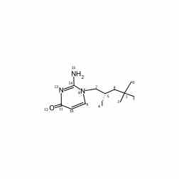 CC(C)(C)C[C@H](I)Cn1ccc(=O)nc1N